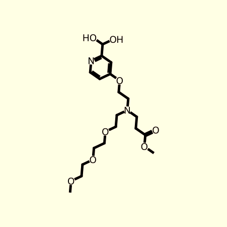 COCCOCCOCCN(CCOc1ccnc(C(O)O)c1)CCC(=O)OC